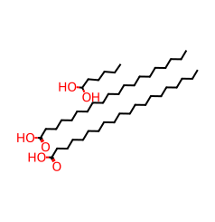 CCCCCC(O)O.CCCCCCCCCCCCCCCCCCCC(=O)O.CCCCCCCCCCCCCCCCCCCC(=O)O